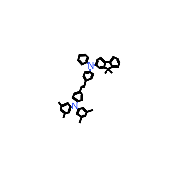 Cc1cc(C)cc(N(c2ccc(/C=C/c3ccc(N(c4ccccc4)c4ccc5c(c4)C(C)(C)c4ccccc4-5)cc3)cc2)c2cc(C)cc(C)c2)c1